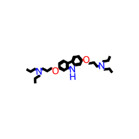 CCCN(CCC)CCCOc1ccc2c(c1)[nH]c1cc(OCCCN(CCC)CCC)ccc12